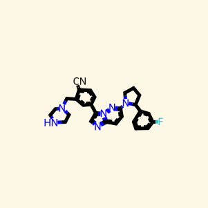 N#Cc1ccc(-c2cnc3ccc(N4CCCC4c4cccc(F)c4)nn23)cc1CN1CCNCC1